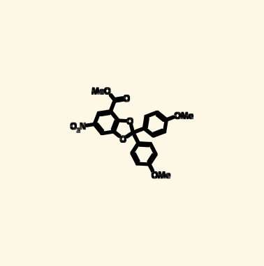 COC(=O)c1cc([N+](=O)[O-])cc2c1OC(c1ccc(OC)cc1)(c1ccc(OC)cc1)O2